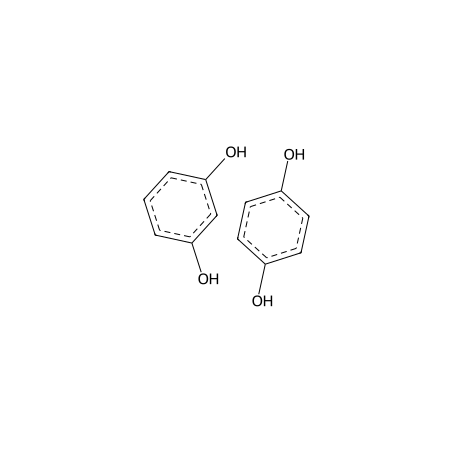 Oc1ccc(O)cc1.Oc1cccc(O)c1